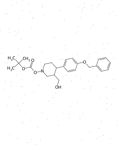 CC(C)(C)OC(=O)ON1CCC(c2ccc(OCc3ccccc3)cc2)C(CO)C1